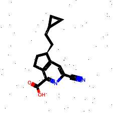 N#Cc1cc2c(c(C(=O)O)n1)CC[C@H]2CCC1CC1